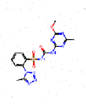 COc1nc(C)nc(NC(=O)NS(=O)(=O)c2ccccc2-n2nnnc2C)n1